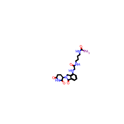 O=C(P)NCCCCNC(=O)CNc1cccc2c1CN(C1CCC(=O)NC1=O)C2=O